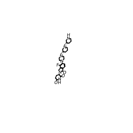 O=C1CCC(N2Cc3c(ccc(N4CCN(C[C@H]5CCCN(C[C@H]6CCCNC6)C5)CC4)c3F)C2=O)C(=O)N1